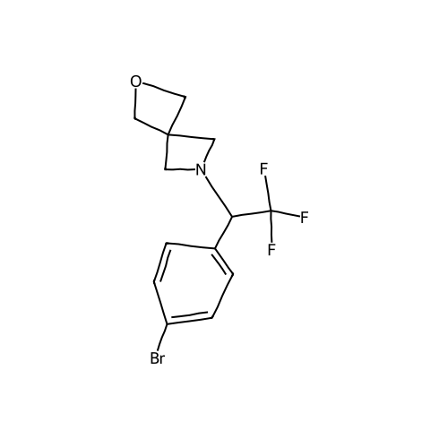 FC(F)(F)C(c1ccc(Br)cc1)N1CC2(COC2)C1